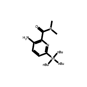 CCC[CH2][Sn]([CH2]CCC)([CH2]CCC)[c]1ccc(N)c(C(=O)N(C)C)n1